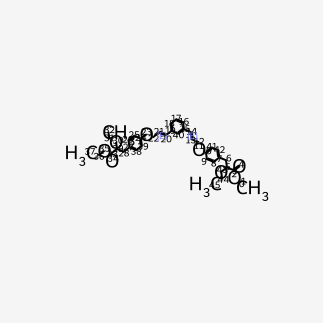 CCOC(=O)C(Cc1ccc(OC/C=C/c2cccc(/C=C/COc3ccc(CC(OCC)C(=O)OCC)cc3)c2)cc1)OCC